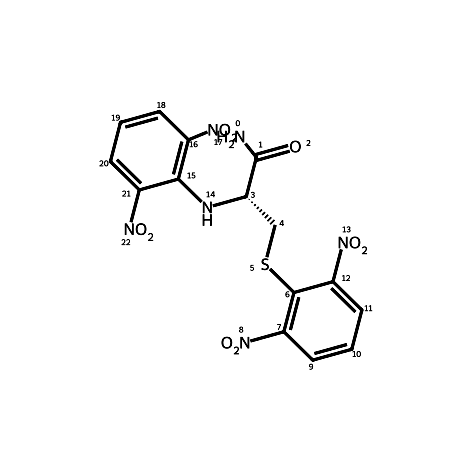 NC(=O)[C@H](CSc1c([N+](=O)[O-])cccc1[N+](=O)[O-])Nc1c([N+](=O)[O-])cccc1[N+](=O)[O-]